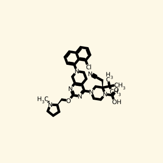 CN1CCC[C@@H]1COc1nc2c(c(N3CCN(C(=O)O)[C@@](CC#N)(C(C)(C)C)C3)n1)CCN(c1cccc3cccc(Cl)c13)C2